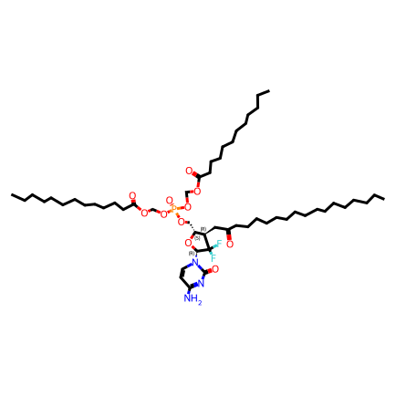 CCCCCCCCCCCCCCCCC(=O)C[C@@H]1[C@@H](COP(=O)(OCOC(=O)CCCCCCCCCCC)OCOC(=O)CCCCCCCCCCCC)O[C@@H](n2ccc(N)nc2=O)C1(F)F